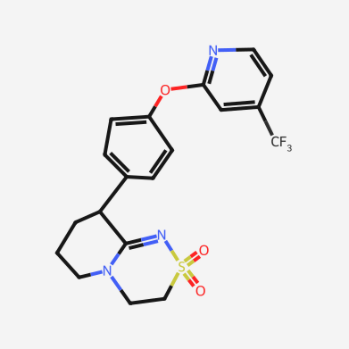 O=S1(=O)CCN2CCCC(c3ccc(Oc4cc(C(F)(F)F)ccn4)cc3)C2=N1